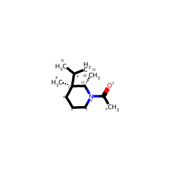 CC(=O)N1CCC[C@@](C)(C(C)C)[C@@H]1C